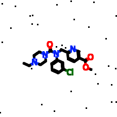 CCN1CCN(C(=O)N(Cc2ccc(C(=O)OC)cn2)c2cccc(Cl)c2)CC1